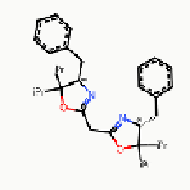 CC(C)C1(C(C)C)OC(CC2=N[C@H](Cc3ccccc3)C(C(C)C)(C(C)C)O2)=N[C@@H]1Cc1ccccc1